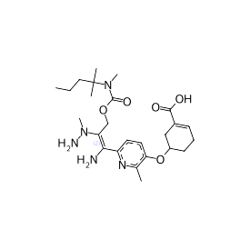 CCCC(C)(C)N(C)C(=O)OC/C(=C(/N)c1ccc(OC2CCC=C(C(=O)O)C2)c(C)n1)N(C)N